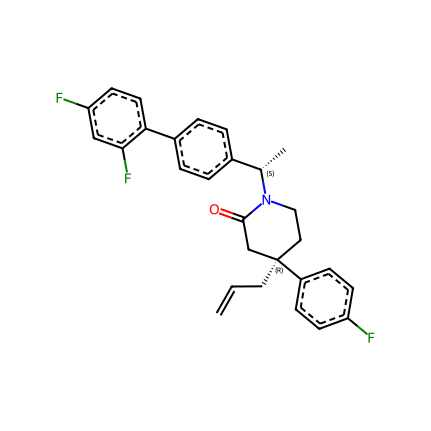 C=CC[C@@]1(c2ccc(F)cc2)CCN([C@@H](C)c2ccc(-c3ccc(F)cc3F)cc2)C(=O)C1